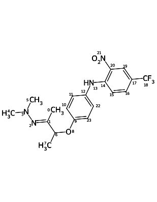 C/C(=N\N(C)C)C(C)Oc1ccc(Nc2ccc(C(F)(F)F)cc2[N+](=O)[O-])cc1